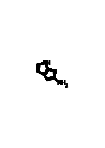 Nc1cc2cc[nH]c2s1